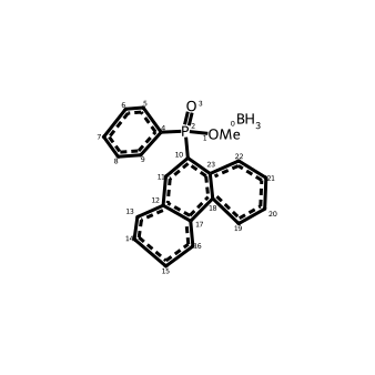 B.COP(=O)(c1ccccc1)c1cc2ccccc2c2ccccc12